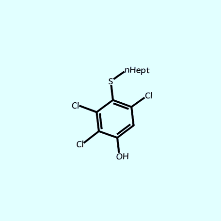 CCCCCCCSc1c(Cl)cc(O)c(Cl)c1Cl